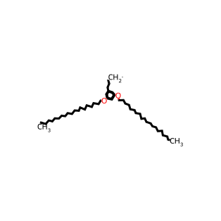 [CH2]CCCc1cc(OCCCCCCCCCCCCCCCCCCCC)cc(OCCCCCCCCCCCCCCCCCCCC)c1